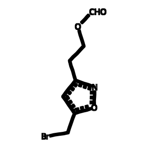 O=COCCc1cc(CBr)on1